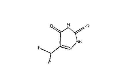 O=c1[nH]cc(C(F)F)c(=O)[nH]1